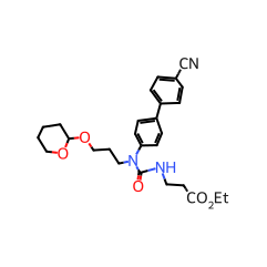 CCOC(=O)CCNC(=O)N(CCCOC1CCCCO1)c1ccc(-c2ccc(C#N)cc2)cc1